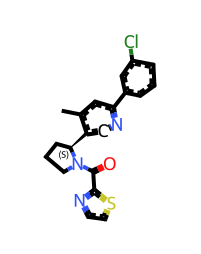 Cc1cc(-c2cccc(Cl)c2)ncc1[C@@H]1CCCN1C(=O)c1nccs1